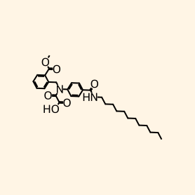 CCCCCCCCCCCCNC(=O)c1ccc(N(Cc2ccccc2C(=O)OC)C(=O)C(=O)O)cc1